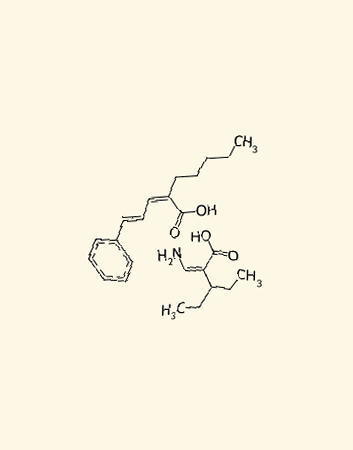 CCC(CC)C(=CN)C(=O)O.CCCCCC(=CC=Cc1ccccc1)C(=O)O